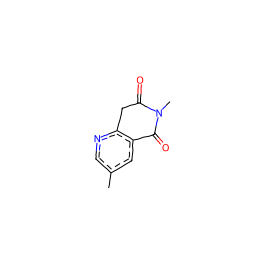 Cc1cnc2c(c1)C(=O)N(C)C(=O)C2